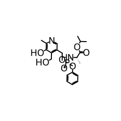 Cc1ncc(CO[P@@](=O)(N[C@@H](C)C(=O)OC(C)C)Oc2ccccc2)c(CO)c1O